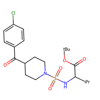 CC(C)C(NS(=O)(=O)N1CCC(C(=O)c2ccc(Cl)cc2)CC1)C(=O)OC(C)(C)C